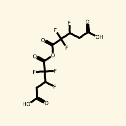 O=C(O)CC(F)C(F)(F)C(=O)OC(=O)C(F)(F)C(F)CC(=O)O